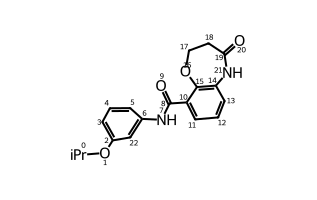 CC(C)Oc1cccc(NC(=O)c2cccc3c2OCCC(=O)N3)c1